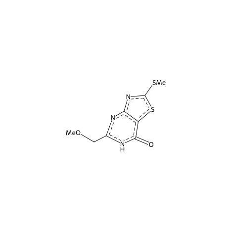 COCc1nc2nc(SC)sc2c(=O)[nH]1